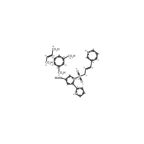 CNc1cc(-c2cccs2)n(S(=O)(=O)CC=Cc2cccnc2)c1.O=C(O)/C=C/C(=O)O.O=C(O)c1cccc(C(=O)O)c1